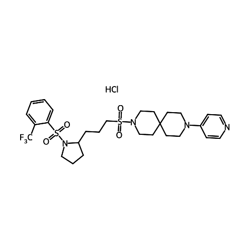 Cl.O=S(=O)(CCCC1CCCN1S(=O)(=O)c1ccccc1C(F)(F)F)N1CCC2(CCN(c3ccncc3)CC2)CC1